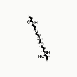 C=CC(=O)NCCCOCCOCCOCCCNC(O)C=C